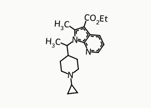 CCOC(=O)c1c(C)n(C(C)C2CCN(C3CC3)CC2)c2ncccc12